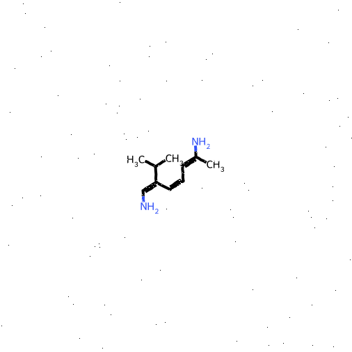 C\C(N)=C/C=C\C(=C/N)C(C)C